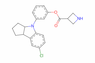 O=C(Oc1cccc(N2c3ccc(Cl)cc3C3CCCC32)c1)C1CNC1